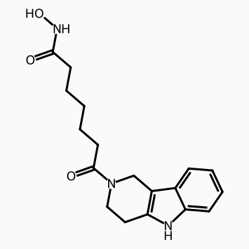 O=C(CCCCCC(=O)N1CCc2[nH]c3ccccc3c2C1)NO